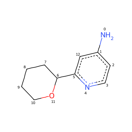 Nc1ccnc(C2CCCCO2)c1